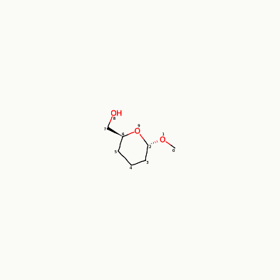 CO[C@@H]1CCC[C@@H](CO)O1